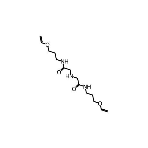 C=COCCCNC(=O)CNCC(=O)NCCCOC=C